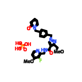 COCc1nn(Cc2ccc(Cn3ccccc3=O)cc2)cc1C(=O)NCc1nccc(OC)c1F.O=P(O)(O)O